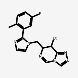 CCC1c2nncn2C=NC1Cn1ccnc1-c1cc(F)ccc1C